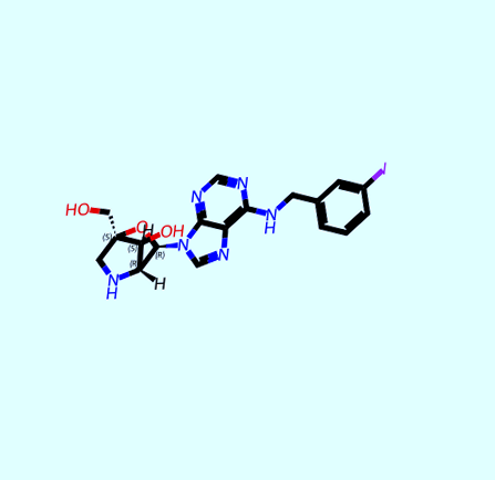 OC[C@]12CN[C@@H]([C@H](n3cnc4c(NCc5cccc(I)c5)ncnc43)O1)[C@@H]2O